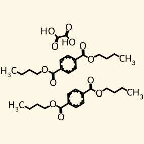 CCCCOC(=O)c1ccc(C(=O)OCCCC)cc1.CCCCOC(=O)c1ccc(C(=O)OCCCC)cc1.O=C(O)C(=O)O